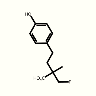 CC(CF)(CCc1ccc(O)cc1)C(=O)O